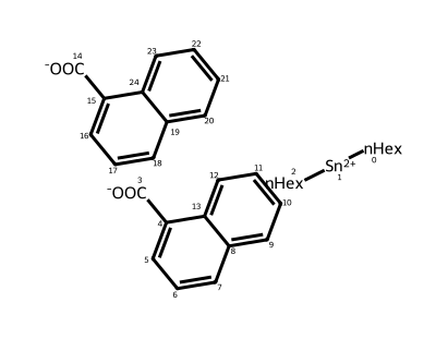 CCCCC[CH2][Sn+2][CH2]CCCCC.O=C([O-])c1cccc2ccccc12.O=C([O-])c1cccc2ccccc12